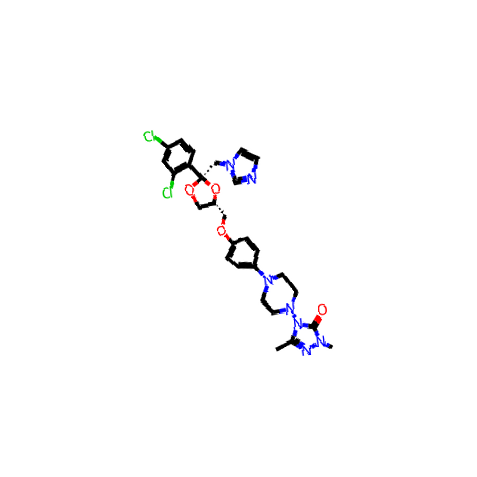 Cc1nn(C)c(=O)n1N1CCN(c2ccc(OC[C@@H]3CO[C@@](Cn4ccnc4)(c4ccc(Cl)cc4Cl)O3)cc2)CC1